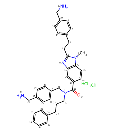 Cl.Cl.Cn1c(CCc2ccc(CN)cc2)nc2cc(C(=O)N(CCCc3ccccc3)Cc3ccc(CN)cc3)ccc21